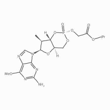 COc1nc(N)nc2c1ncn2[C@@H]1O[C@@H]2CO[P@@](=O)(OCC(=O)OC(C)C)O[C@H]2[C@@H]1C